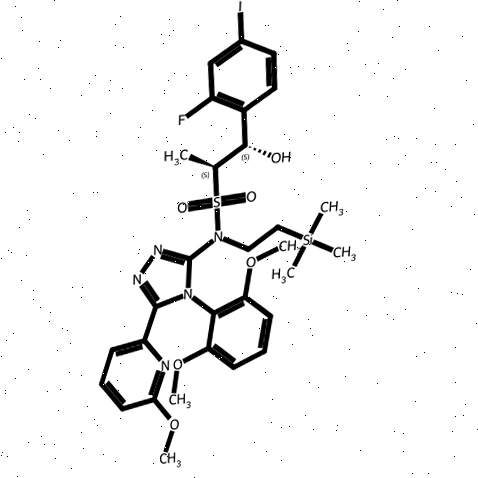 COc1cccc(-c2nnc(N(CC[Si](C)(C)C)S(=O)(=O)[C@@H](C)[C@@H](O)c3ccc(I)cc3F)n2-c2c(OC)cccc2OC)n1